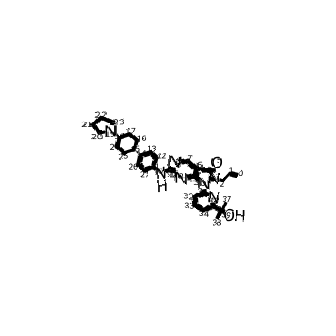 C=CCn1c(=O)c2cnc(Nc3ccc([C@H]4CC[C@@H](N5CCCC5)CC4)cc3)nc2n1-c1cccc(C(C)(C)O)n1